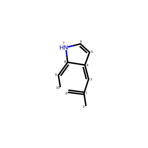 C=C(C)/C=c1/cc[nH]/c1=C/C